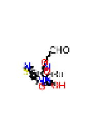 CCC(C)CC(CC(CC)c1cc(OCCCCC=O)no1)N1C[C@H](O)C[C@H]1C(=O)NC(C)c1ccc(-c2scnc2C)cc1